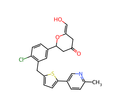 Cc1ccc(-c2ccc(Cc3cc(C4CC(=O)C/C(=C/O)O4)ccc3Cl)s2)cn1